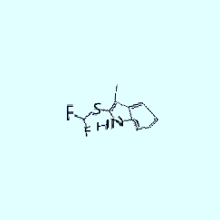 Cc1c(SC(F)F)[nH]c2ccccc12